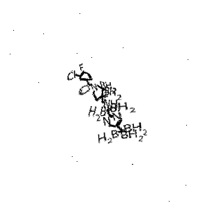 BC(B)(B)c1cnc(C(B)(B)NCC2(F)CCN(C(=O)c3ccc(F)c(Cl)c3)CC2(B)B)nc1